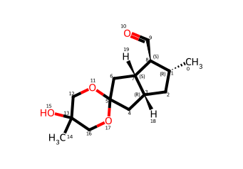 C[C@@H]1C[C@@H]2CC3(C[C@@H]2[C@H]1C=O)OCC(C)(O)CO3